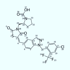 O=C1SC(=Cc2ccc3c(cnn3Cc3ccc(Cl)cc3C(F)(F)F)c2)C(=O)N1C[C@@H]1CCCN1C(=O)O